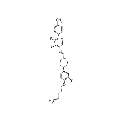 C=CCCCOc1ccc(C2CCC(/C=C/c3ccc(-c4ccc(C)cc4)c(F)c3F)CC2)cc1F